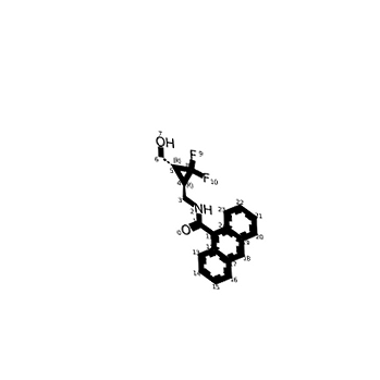 O=C(NC[C@H]1[C@H](CO)C1(F)F)c1c2ccccc2cc2ccccc12